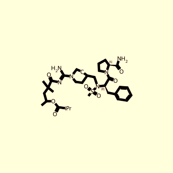 CC(CC(C)(C)C(=O)N=C(N)N1CCC(CN([C@H](Cc2ccccc2)C(=O)N2CCC[C@H]2C(N)=O)S(C)(=O)=O)CC1)OC(=O)C(C)C